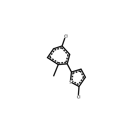 Cc1ccc(Cl)cc1-c1ccc(Cl)s1